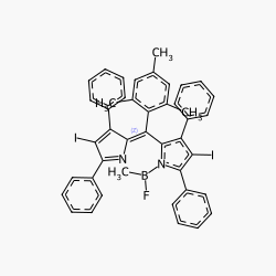 CB(F)n1c(/C(=C2\N=C(c3ccccc3)C(I)=C2c2ccccc2)c2c(C)cc(C)cc2C)c(-c2ccccc2)c(I)c1-c1ccccc1